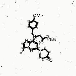 COc1ccc(CN(CC(=O)OC(C)(C)C)c2cc(N3CCC(=O)CC3)nn3c(I)cnc23)cc1